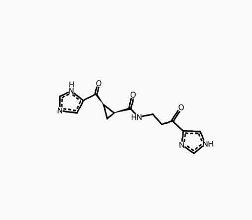 O=C(CCNC(=O)[C@H]1C[C@H]1C(=O)c1cnc[nH]1)c1c[nH]cn1